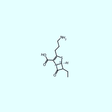 CCC1C(=O)N2C(C(=O)O)=C(CCCN)S[C@@H]12